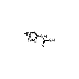 S=C(S)Nc1c[nH]nn1